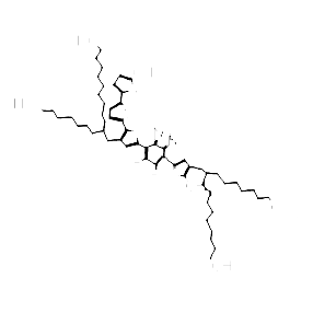 CCCCCCCCCCC(CCCCCCCC)Cc1cc(-c2c(F)c(F)c(-c3cc(CC(CCCCCCCC)CCCCCCCCCC)c(-c4ccc(-c5ccc(C)s5)s4)s3)c3nsnc23)sc1C